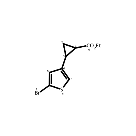 CCOC(=O)C1CC1c1csc(Br)c1